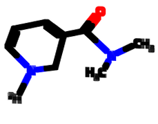 [2H]N1C=CC=C(C(=O)N(C)C)C1